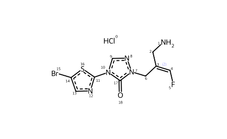 Cl.NC/C(=C/F)Cn1ncn(-c2ncc(Br)s2)c1=O